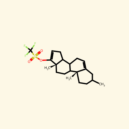 CC1CC[C@@]2(C)C(=CCC3C2CC[C@]2(C)C(OS(=O)(=O)C(F)(F)F)=CCC32)C1